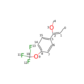 CC=C(OC)c1ccc(OC(F)(F)F)cc1